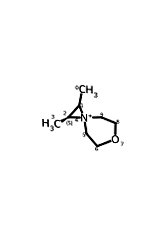 CC1[C@H](C)[N+]12CCOCC2